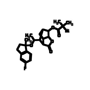 CCC(C)(C)C(=O)OC1C2CC3C1OC(=O)C3C2C(C)OC1(C)CCc2cc(F)ccc21